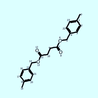 Cc1ccc(COC(=O)CCC(=O)OCc2ccc(C)cc2)cc1